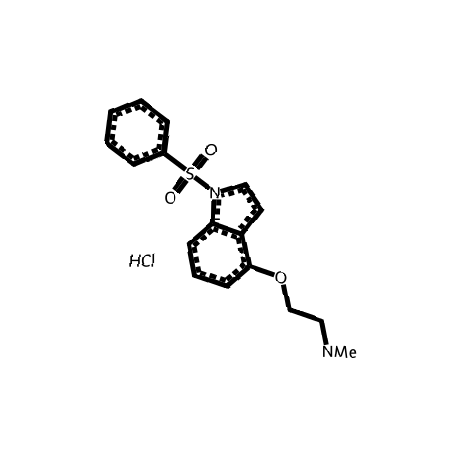 CNCCOc1cccc2c1ccn2S(=O)(=O)c1ccccc1.Cl